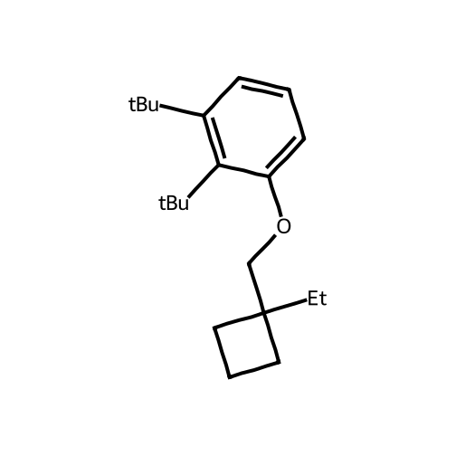 CCC1(COc2cccc(C(C)(C)C)c2C(C)(C)C)CCC1